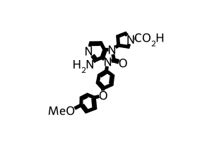 COc1ccc(Oc2ccc(-n3c(=O)n(C4CCN(C(=O)O)C4)c4ccnc(N)c43)cc2)cc1